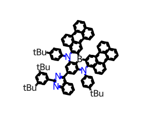 CC(C)(C)c1ccc(N2c3cc(-c4nc(-c5cc(C(C)(C)C)cc(C(C)(C)C)c5)nc5ccccc45)cc4c3B(c3cc5c6cccc7cccc(c8cccc(c32)c85)c76)c2cc3c5cccc6cccc(c7cccc(c2N4c2ccc(C(C)(C)C)cc2)c73)c65)cc1